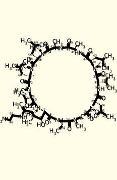 C=C(C[C@@H](C)[C@@H](O)[C@H]1C(=O)N[C@@H](CC)C(=O)N(C)CC(=O)N(C)[C@@H](CC(C)C)C(=O)N[C@@H](C(C)C)C(=O)N(C)[C@@H](CC(C)C)C(=O)N[C@@H](C)C(=O)N[C@H](C)C(=O)N(C)[C@@H](CC(C)C)C(=O)N(C)[C@@H](CC(C)C)C(=O)N(C)[C@@H](C(C)C)C(=O)N1C)NCCN